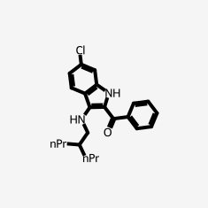 CCCC(CCC)CNc1c(C(=O)c2ccccc2)[nH]c2cc(Cl)ccc12